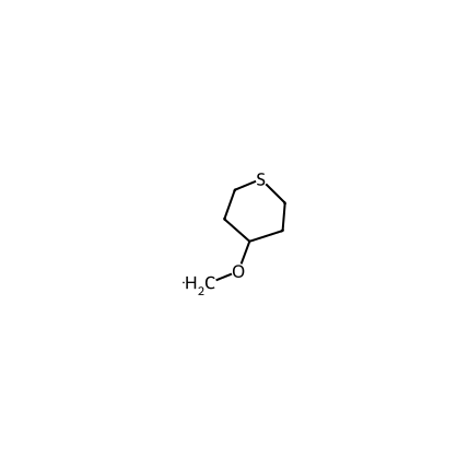 [CH2]OC1CCSCC1